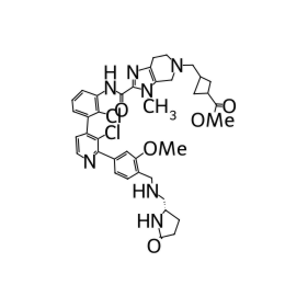 COC(=O)C1CC(CN2CCc3nc(C(=O)Nc4cccc(-c5ccnc(-c6ccc(CNC[C@@H]7CCC(=O)N7)c(OC)c6)c5Cl)c4Cl)n(C)c3C2)C1